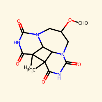 CC12C(=O)NC(=O)N3CC(OC=O)CN4C(=O)NC(=O)C1(C)C4C32